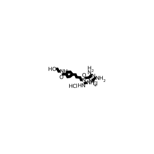 Cl.N=C(N)N(CCCCc1ccc(C(=O)NCCO)cc1)C(=O)c1nc(Cl)c(N)nc1N